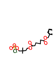 CC(C)(CCOC(=O)CCCCC(=O)OCc1ccccc1)COS(=O)(=O)Cl